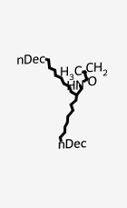 C=C(C)C(=O)NCC(CCCCCCCCCCCCCCCCCC)CCCCCCCCCCCCCCCCCC